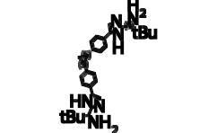 CC(C)(C)C(N)c1ncc(-c2ccc([C@H]3C[C@@H]3c3ccc(-c4cnc([C@@H](N)C(C)(C)C)[nH]4)cc3)cc2)[nH]1